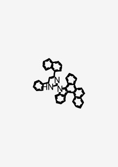 C1=C(c2cccc3ccccc23)N=C(n2c3ccccc3c3c4c5ccccc5ccc4c4ccccc4c32)NC1c1ccccc1